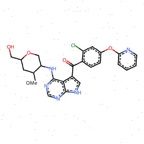 COC1CC(CO)OCC1Nc1ncnc2[nH]cc(C(=O)c3ccc(Oc4ccccn4)cc3Cl)c12